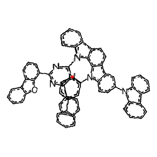 c1ccc(-c2cccc(-n3c4ccc(-n5c6ccccc6c6ccccc65)cc4c4ccc5c6ccccc6n(-c6nc(-c7ccccc7)nc(-c7cccc8c7oc7ccccc78)n6)c5c43)c2)cc1